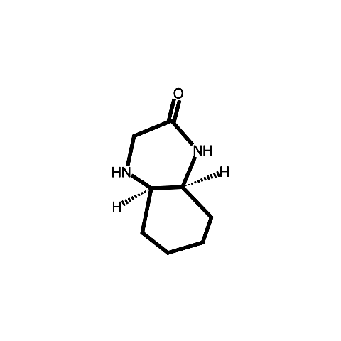 O=C1CN[C@@H]2CCCC[C@@H]2N1